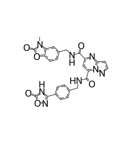 Cn1c(=O)oc2ccc(CNC(=O)c3cc(C(=O)NCc4ccc(-c5noc(=O)[nH]5)cc4)n4nccc4n3)cc21